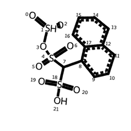 O=[SH](=O)OS(=O)(=O)C(c1cccc2ccccc12)S(=O)(=O)O